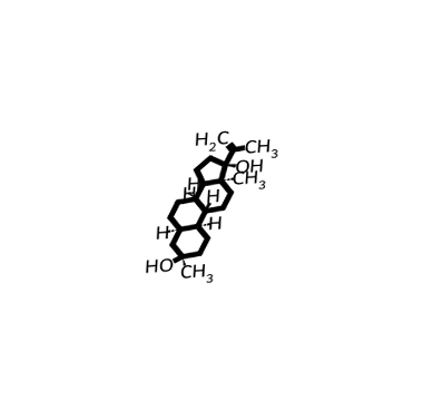 C=C(C)[C@@]1(O)CC[C@H]2[C@@H]3CC[C@@H]4C[C@](C)(O)CC[C@@H]4[C@H]3CC[C@@]21C